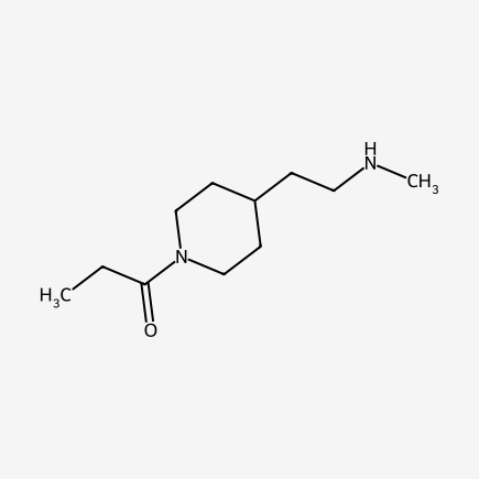 CCC(=O)N1CCC(CCNC)CC1